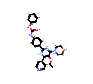 CCOc1c(-c2ccncc2)nc(-c2ccc(NC(=O)Oc3ccccc3)cc2)nc1N1CCOCC1